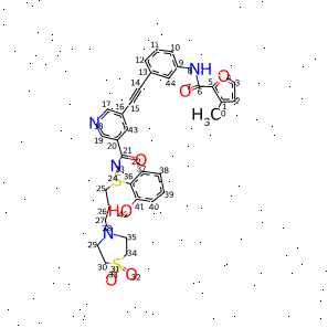 Cc1ccoc1C(=O)Nc1cccc(C#Cc2cncc(C(=O)N=S(CCCN3CCS(=O)(=O)CC3)c3ccccc3O)c2)c1